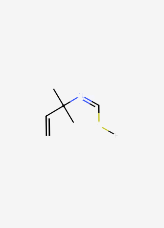 C=CC(C)(C)/N=C\SCC